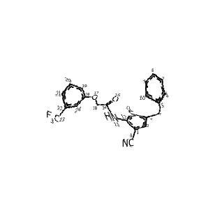 N#Cc1cc(Cc2ccccc2)sc1NC(=O)COc1cccc(C(F)(F)F)c1